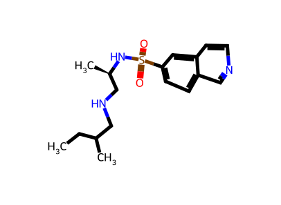 CCC(C)CNC[C@@H](C)NS(=O)(=O)c1ccc2cnccc2c1